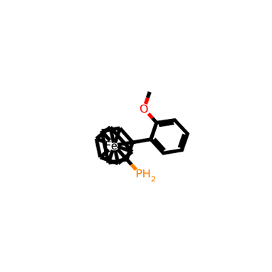 COc1ccccc1[C]12[CH]3[CH]4[CH]5[C]1(P)[Fe]45321678[CH]2[CH]1[CH]6[CH]7[CH]28